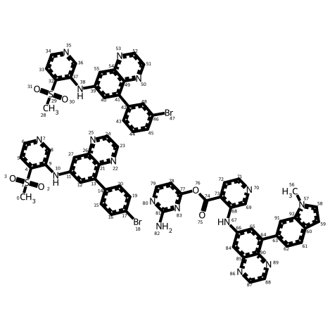 CS(=O)(=O)c1ccncc1Nc1cc(-c2ccc(Br)cc2)c2nccnc2c1.CS(=O)(=O)c1ccncc1Nc1cc(-c2cccc(Br)c2)c2nccnc2c1.Cn1ccc2ccc(-c3cc(Nc4cnccc4C(=O)Oc4ccnc(N)n4)cc4nccnc34)cc21